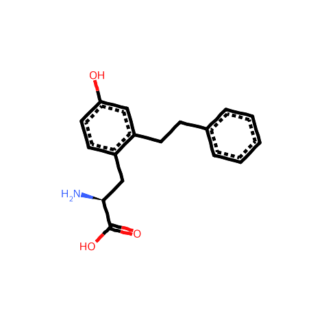 N[C@@H](Cc1ccc(O)cc1CCc1ccccc1)C(=O)O